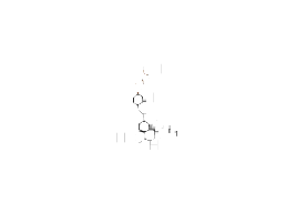 CSCCSc1ccc(/C=C(\C)c2ccc3c(c2)C(C)(C)CCC3(C)C)cc1